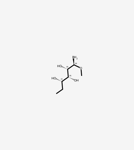 B[C@@H](OC)[C@@H](O)[C@H](O)[C@@H](O)CC